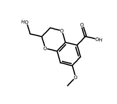 COc1cc2c(c(C(=O)O)c1)OCC(CO)O2